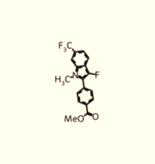 COC(=O)c1ccc(-c2c(F)c3ccc(C(F)(F)F)cc3n2C)cc1